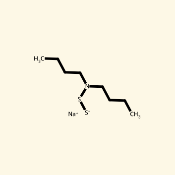 CCCCN(CCCC)S[S-].[Na+]